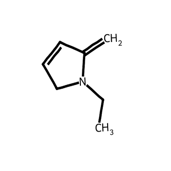 C=C1C=CCN1CC